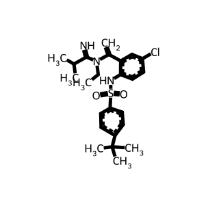 C=C(c1cc(Cl)ccc1NS(=O)(=O)c1ccc(C(C)(C)C)cc1)N(CC)C(=N)C(C)C